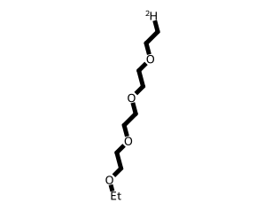 [2H]CCOCCOCCOCCOCC